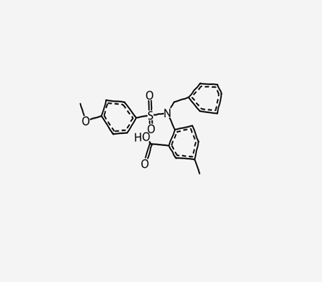 COc1ccc(S(=O)(=O)N(Cc2ccccc2)c2ccc(C)cc2C(=O)O)cc1